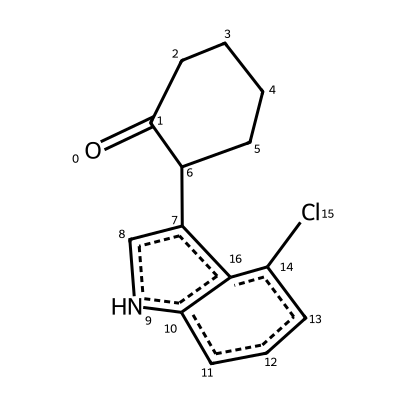 O=C1CCCCC1c1c[nH]c2cccc(Cl)c12